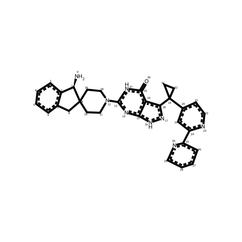 N[C@@H]1c2ccccc2CC12CCN(c1nc3[nH]nc(C4(c5ccnc(-c6ccccn6)c5)CC4)c3c(=O)[nH]1)CC2